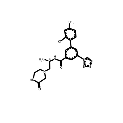 Cc1ccc(-c2cc(C(=O)N[C@H](C)CN3CCNC(=O)C3)cc(-n3cnnn3)c2)c(Cl)c1